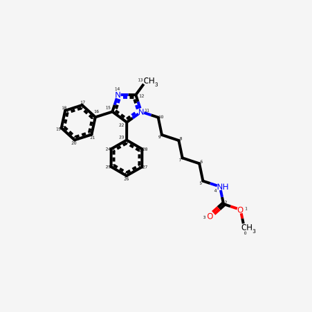 COC(=O)NCCCCCCn1c(C)nc(-c2ccccc2)c1-c1ccccc1